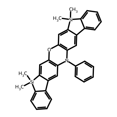 C[Si]1(C)c2ccccc2-c2cc3c(cc21)Oc1cc2c(cc1N3c1ccccc1)-c1ccccc1[Si]2(C)C